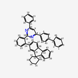 c1ccc(-c2ccc(-c3cc(-c4ccccc4)nc(-c4ccccc4-c4ccc5c(c4)C4(CCCCC4)c4ccccc4-5)n3)cc2)cc1